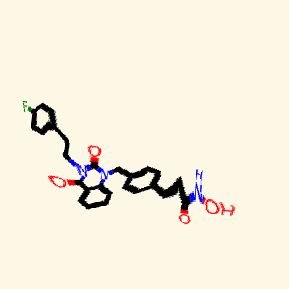 O=C(/C=C/c1ccc(Cn2c(=O)n(CCc3ccc(F)cc3)c(=O)c3ccccc32)cc1)NO